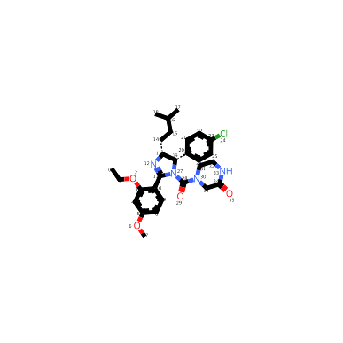 CCOc1cc(OC)ccc1C1=N[C@H](CCC(C)C)[C@H](c2ccc(Cl)cc2)N1C(=O)N1CCNC(=O)C1